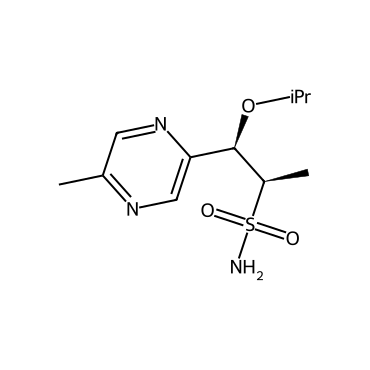 Cc1cnc([C@@H](OC(C)C)[C@@H](C)S(N)(=O)=O)cn1